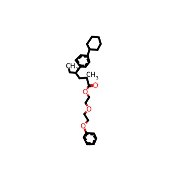 CCC(CC(C)C(=O)OCCOCCOc1ccccc1)c1ccc(C2CCCCC2)cc1